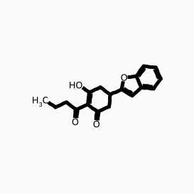 CCCC(=O)C1=C(O)CC(c2cc3ccccc3o2)CC1=O